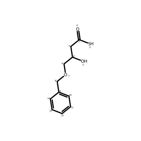 O=C(S)CC(O)COCc1ccccc1